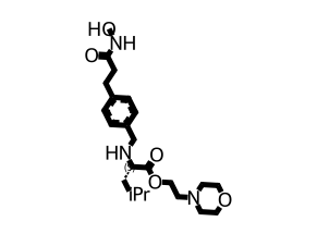 CC(C)C[C@H](NCc1ccc(CCC(=O)NO)cc1)C(=O)OCCN1CCOCC1